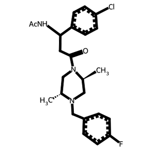 CC(=O)NC(CC(=O)N1C[C@@H](C)N(Cc2ccc(F)cc2)C[C@@H]1C)c1ccc(Cl)cc1